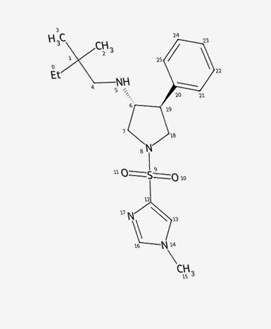 CCC(C)(C)CN[C@H]1CN(S(=O)(=O)c2cn(C)cn2)C[C@@H]1c1ccccc1